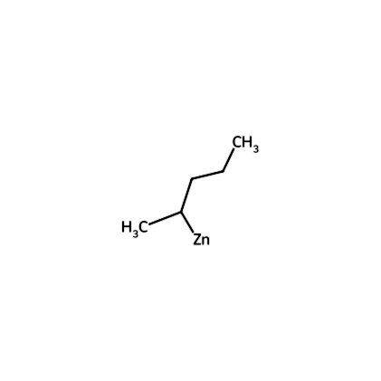 CCC[CH](C)[Zn]